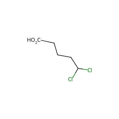 O=C(O)CCCC(Cl)Cl